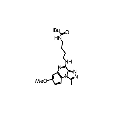 CCC(C)C(=O)NCCCCNc1nc2cc(OC)ccc2n2c(C)nnc12